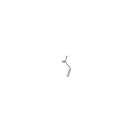 O=CNF